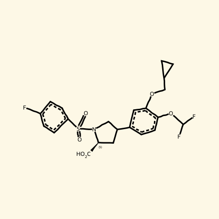 O=C(O)[C@@H]1CC(c2ccc(OC(F)F)c(OCC3CC3)c2)CN1S(=O)(=O)c1ccc(F)cc1